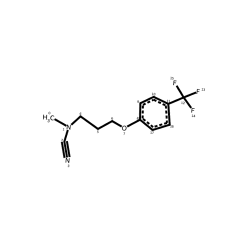 CN(C#N)CCCOc1ccc(C(F)(F)F)cc1